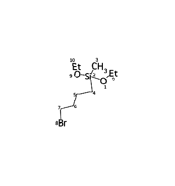 CCO[Si](C)(CCCCBr)OCC